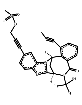 [2H]C([2H])([2H])N1C(=O)c2cccc(C#CC)c2[C@H]2C[C@@H]1c1nc3ccc(C#CCOS(C)(=O)=O)cc3n12